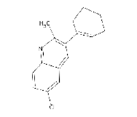 Cc1nc2ccc(Cl)cc2cc1C1=CCCCC1